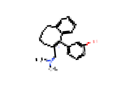 CN(C)C/C1=C(\c2cccc(O)c2)c2ccccc2CCCC1